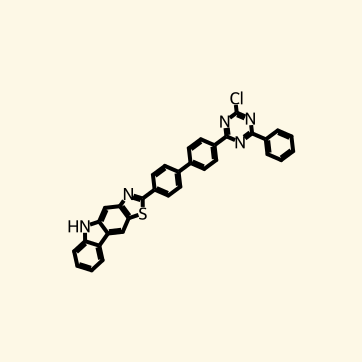 Clc1nc(-c2ccccc2)nc(-c2ccc(-c3ccc(-c4nc5cc6[nH]c7ccccc7c6cc5s4)cc3)cc2)n1